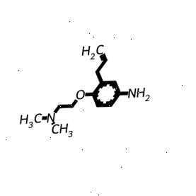 C=CCc1cc(N)ccc1OCCN(C)C